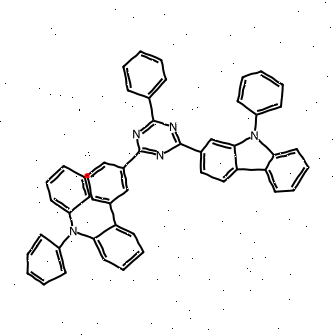 c1ccc(-c2nc(-c3cccc(-c4ccccc4N(c4ccccc4)c4ccccc4)c3)nc(-c3ccc4c5ccccc5n(-c5ccccc5)c4c3)n2)cc1